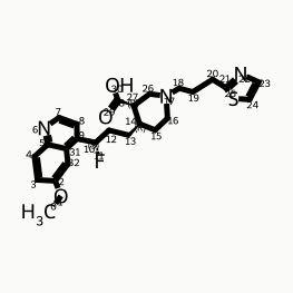 COc1ccc2nccc([C@@H](F)CC[C@@H]3CCN(CCCc4nccs4)C[C@@H]3C(=O)O)c2c1